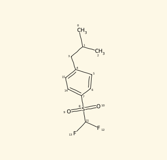 CC(C)Cc1ccc(S(=O)(=O)C(F)F)cc1